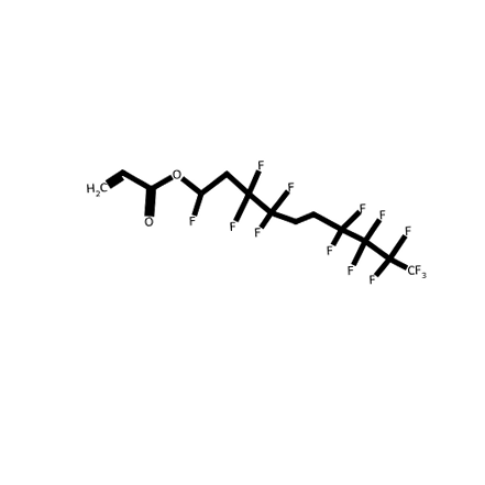 C=CC(=O)OC(F)CC(F)(F)C(F)(F)CCC(F)(F)C(F)(F)C(F)(F)C(F)(F)F